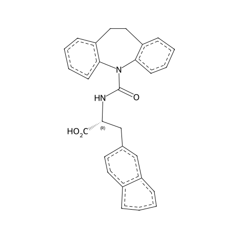 O=C(O)[C@@H](Cc1ccc2ccccc2c1)NC(=O)N1c2ccccc2CCc2ccccc21